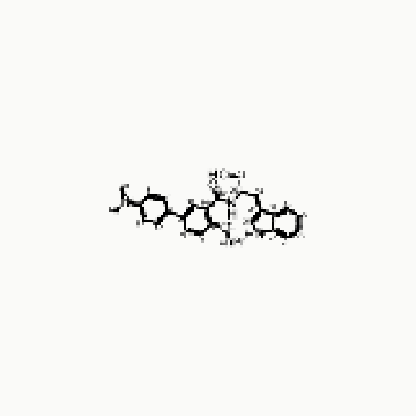 CCCOc1ccc(-c2ccc(N(C)C)cc2)cc1C(=O)N[C@H](CO)Cc1c[nH]c2ccccc12